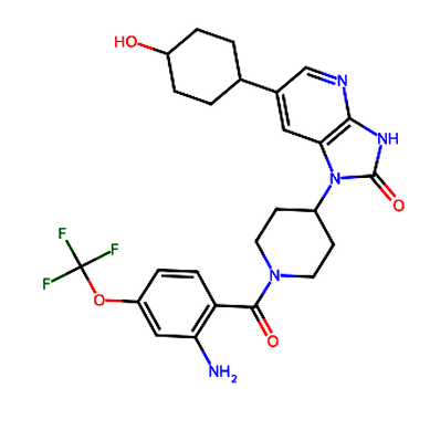 Nc1cc(OC(F)(F)F)ccc1C(=O)N1CCC(n2c(=O)[nH]c3ncc(C4CCC(O)CC4)cc32)CC1